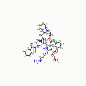 CCOC(=O)C1=C(COCCN)NC(C)=C(C(=O)OC)C1c1ccccc1Cl.O=C(NC1CCN(CCc2c[nH]c3ccccc23)CC1)c1ccccc1